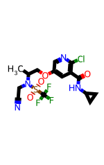 CC(COc1cnc(Cl)c(C(=O)NC2CC2)c1)N(CC#N)S(=O)(=O)C(F)(F)F